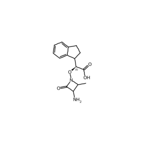 CC1C(N)C(=O)N1O[C@H](C(=O)O)C1CCc2ccccc21